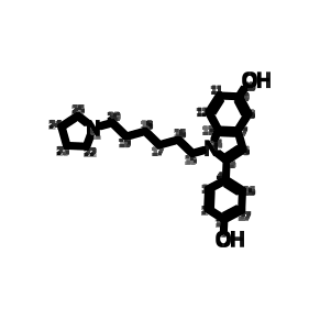 Oc1ccc(-c2cc3cc(O)ccc3n2CCCCCCN2CCCC2)cc1